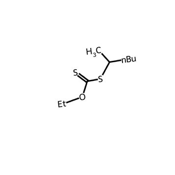 CCCCC(C)SC(=S)OCC